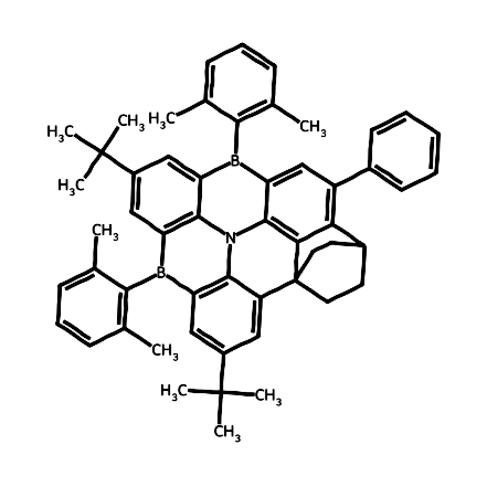 Cc1cccc(C)c1B1c2cc(C(C)(C)C)cc3c2N2c4c1cc(C(C)(C)C)cc4C14CCC(CC1)c1c(-c5ccccc5)cc(c2c14)B3c1c(C)cccc1C